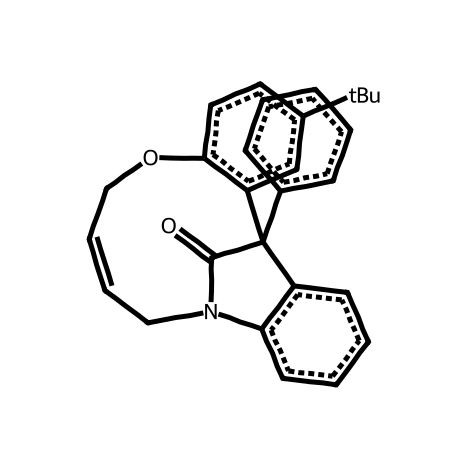 CC(C)(C)c1ccc2c(c1)C1(c3ccccc3)C(=O)N(C/C=C\CO2)c2ccccc21